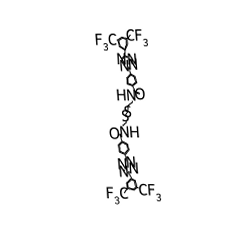 O=C(NCCSSCCNC(=O)c1ccc(-c2nnc(-c3cc(C(F)(F)F)cc(C(F)(F)F)c3)nn2)cc1)c1ccc(-c2nnc(-c3cc(C(F)(F)F)cc(C(F)(F)F)c3)nn2)cc1